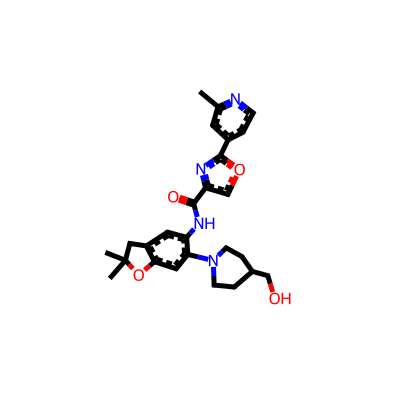 Cc1cc(-c2nc(C(=O)Nc3cc4c(cc3N3CCC(CO)CC3)OC(C)(C)C4)co2)ccn1